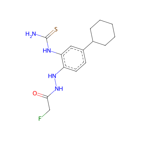 NC(=S)Nc1cc(C2CCCCC2)ccc1NNC(=O)CF